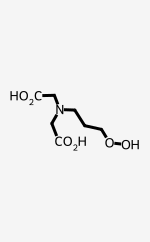 O=C(O)CN(CCCOO)CC(=O)O